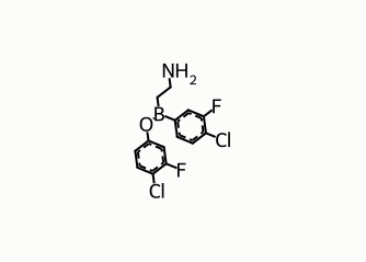 NCCB(Oc1ccc(Cl)c(F)c1)c1ccc(Cl)c(F)c1